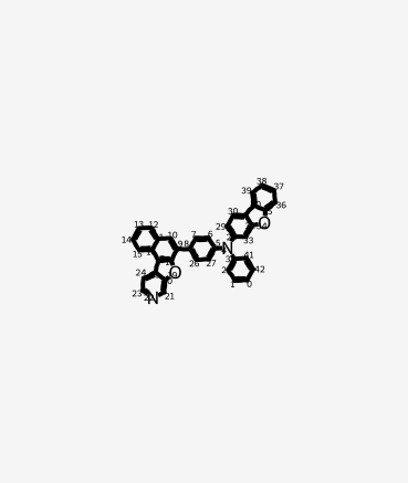 c1ccc(N(c2ccc(-c3cc4ccccc4c4c3oc3cnccc34)cc2)c2ccc3c(c2)oc2ccccc23)cc1